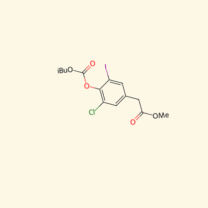 COC(=O)Cc1cc(Cl)c(OC(=O)OCC(C)C)c(I)c1